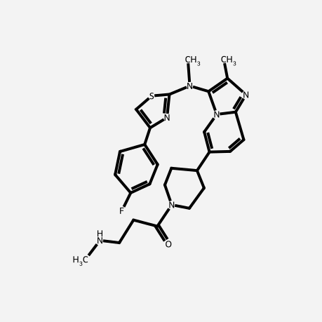 CNCCC(=O)N1CCC(c2ccc3nc(C)c(N(C)c4nc(-c5ccc(F)cc5)cs4)n3c2)CC1